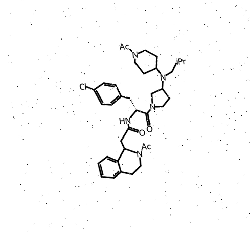 CC(=O)N1CCC(N(CC(C)C)C2CCN(C(=O)[C@@H](Cc3ccc(Cl)cc3)NC(=O)CC3c4ccccc4CCN3C(C)=O)C2)CC1